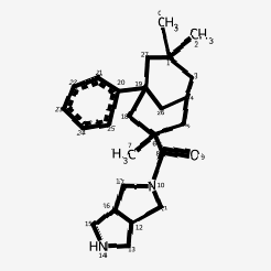 CC1(C)CC2CC(C)(C(=O)N3CC4CNCC4C3)CC(c3ccccc3)(C2)C1